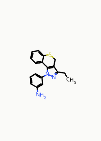 CCc1nn(-c2cccc(N)c2)c2c1CSc1ccccc1-2